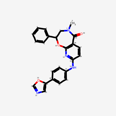 CN1CC(c2ccccc2)Oc2nc(Nc3ccc(-c4cnco4)cc3)ccc2C1=O